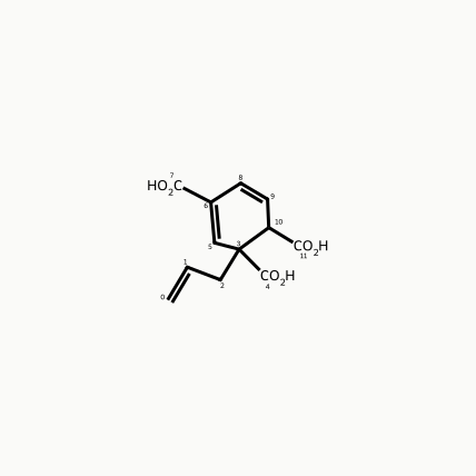 C=CCC1(C(=O)O)C=C(C(=O)O)C=CC1C(=O)O